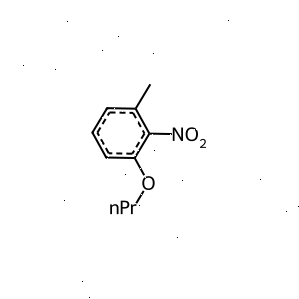 CCCOc1cccc(C)c1[N+](=O)[O-]